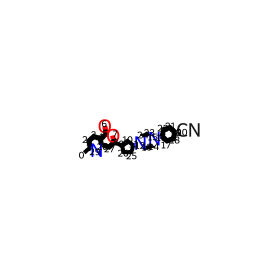 Cc1ccc2c(=O)oc(C3=CC(N4CCN(c5ccc(C#N)cc5)CC4)CC3)cc2n1